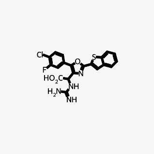 N=C(N)NC(C(=O)O)c1nc(-c2cc3ccccc3s2)oc1-c1ccc(Cl)c(F)c1